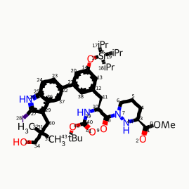 COC(=O)[C@@H]1CCCN(C(=O)[C@H](Cc2cc(O[Si](C(C)C)(C(C)C)C(C)C)cc(-c3ccc4[nH]c(I)c(CC(C)(C)CO)c4c3)c2)NC(=O)OC(C)(C)C)N1